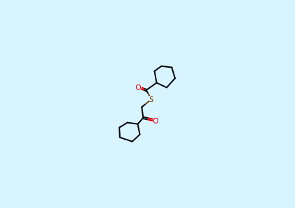 O=C(CSC(=O)C1CCCCC1)C1CCCCC1